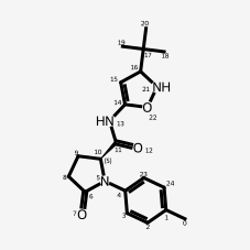 Cc1ccc(N2C(=O)CC[C@H]2C(=O)NC2=CC(C(C)(C)C)NO2)cc1